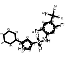 O=S(=O)(Nc1cc(F)c(C(F)(F)F)cc1F)c1c[nH]c(C2CCCCC2)c1